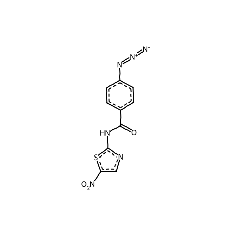 [N-]=[N+]=Nc1ccc(C(=O)Nc2ncc([N+](=O)[O-])s2)cc1